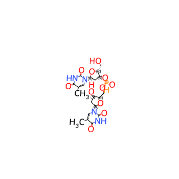 Cc1cn([C@H]2C[C@H](O[PH](=O)OC[C@H]3O[C@@H](n4cc(C)c(=O)[nH]c4=O)C[C@@H]3O)[C@@H](CO)O2)c(=O)[nH]c1=O